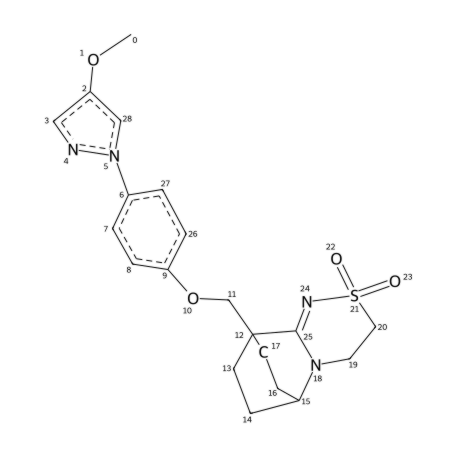 COc1cnn(-c2ccc(OCC34CCC(CC3)N3CCS(=O)(=O)N=C34)cc2)c1